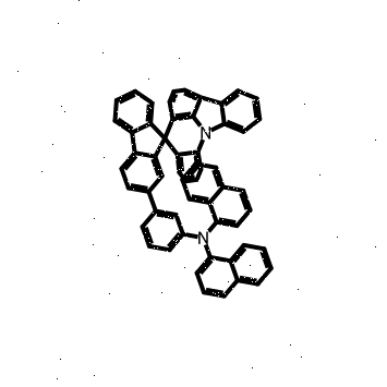 c1cc(-c2ccc3c(c2)C2(c4ccccc4-3)c3ccccc3-n3c4ccccc4c4cccc2c43)cc(N(c2cccc3ccccc23)c2cccc3ccccc23)c1